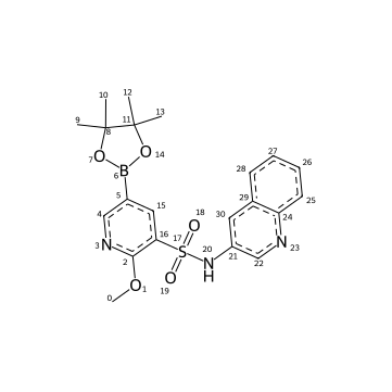 COc1ncc(B2OC(C)(C)C(C)(C)O2)cc1S(=O)(=O)Nc1cnc2ccccc2c1